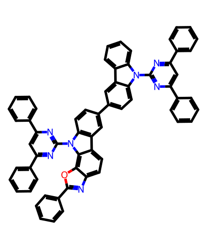 c1ccc(-c2cc(-c3ccccc3)nc(-n3c4ccccc4c4cc(-c5ccc6c(c5)c5ccc7nc(-c8ccccc8)oc7c5n6-c5nc(-c6ccccc6)cc(-c6ccccc6)n5)ccc43)n2)cc1